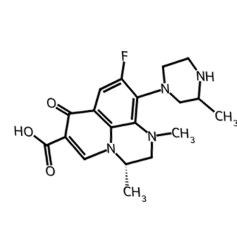 CC1CN(c2c(F)cc3c(=O)c(C(=O)O)cn4c3c2N(C)C[C@@H]4C)CCN1